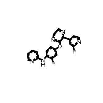 Fc1cc(-c2nccnc2Oc2ccc(Nc3ccccn3)c(F)c2)ccn1